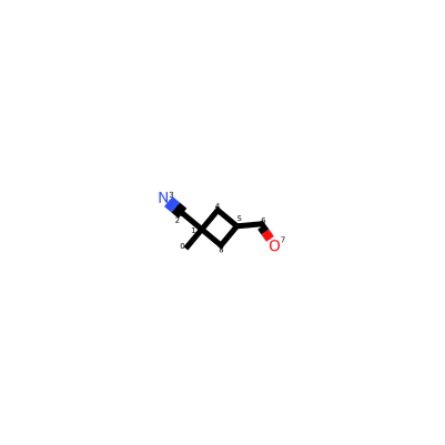 CC1(C#N)CC(C=O)C1